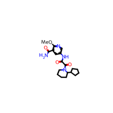 COc1ncc(NC(=O)C(=O)N2CCCCC2C2CCCC2)cc1C(N)=O